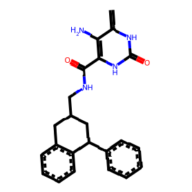 C=C1NC(=O)NC(C(=O)NCC2Cc3ccccc3C(c3ccccc3)C2)=C1N